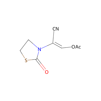 CC(=O)OC=C(C#N)N1CCSC1=O